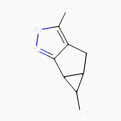 CCCC1C2Cc3c(n[nH]c3C(C)=O)C12